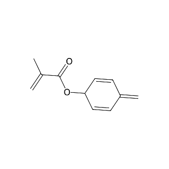 C=C1C=CC(OC(=O)C(=C)C)C=C1